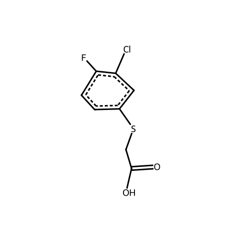 O=C(O)CSc1ccc(F)c(Cl)c1